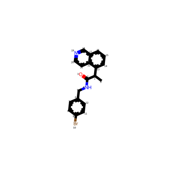 CC(C(=O)NCc1ccc(Br)cc1)c1cccc2cnccc12